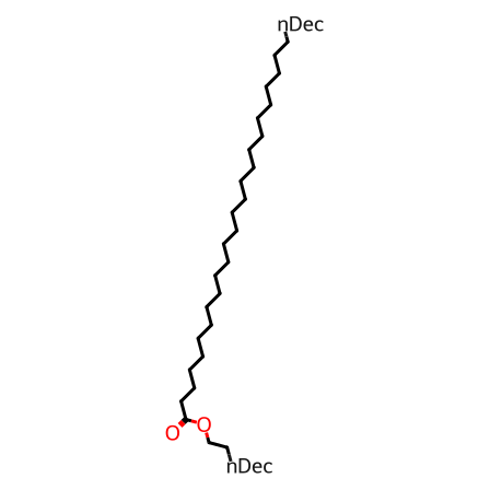 CCCCCCCCCCCCCCCCCCCCCCCCCCCCCCCCCCC(=O)OCCCCCCCCCCCC